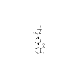 CC(=O)c1c(F)cccc1N1CCN(C(=O)OC(C)(C)C)CC1